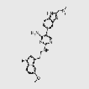 COc1ccc2[nH]cc(CCNc3ncc(-c4ccc5[nH]c(CN(C)C)nc5c4)c(N)n3)c2c1